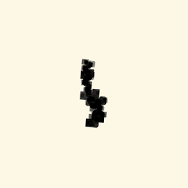 CN(C)Cc1nc(CSCCNc2ncc(Cc3ccc(O)nc3)c(=O)[nH]2)cs1